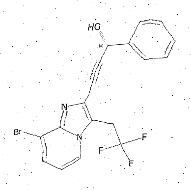 O[C@@H](C#Cc1nc2c(Br)cccn2c1CC(F)(F)F)c1ccccc1